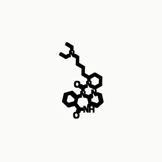 CCN(CC)CCCCC1CCCCN1C(=O)N1c2ccccc2C(=O)Nc2cccnc21